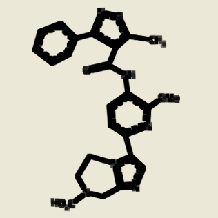 COc1nc(-c2cnc3n2CCN(C(=O)O)C3)ccc1NC(=O)c1c(-c2ccccc2)noc1C